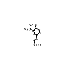 COc1ccc(C=C[C]=O)cc1OC